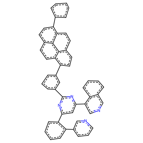 c1ccc(-c2ccc3ccc4c(-c5cccc(-c6nc(-c7ccccc7-c7cccnc7)cc(-c7cncc8ccccc78)n6)c5)ccc5ccc2c3c54)cc1